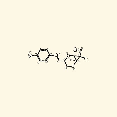 C[C@@]12O[C@@H](COc3ccc(Br)cc3)CO[C@@H]1C2(F)F